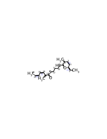 C=C(/C=C\C=C/C)C(=O)BCCCSC(=O)C(=C)/C=C\C=C/C